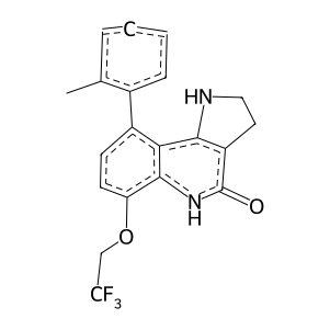 Cc1ccccc1-c1ccc(OCC(F)(F)F)c2[nH]c(=O)c3c(c12)NCC3